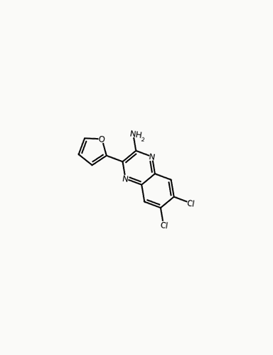 Nc1nc2cc(Cl)c(Cl)cc2nc1-c1ccco1